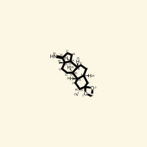 COC1(OC)C[C@@H]2CC[C@@H]3[C@H](CC[C@]4(C)C(=N)CC[C@@H]34)[C@H]2C[C@H]1C